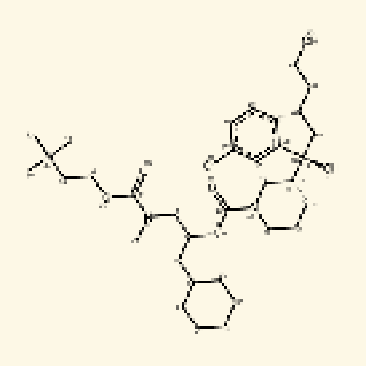 CN(CC(CC1CCCCC1)NC(=O)N1CCC[C@@H]([C@@](O)(CCCCO)c2cccc(Cl)c2)C1)C(=O)OCC[Si](C)(C)C